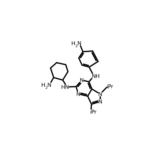 CC(C)c1nn(C(C)C)c2c(Nc3ccc(N)cc3)nc(NC3CCCCC3N)nc12